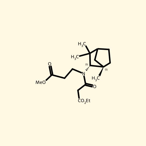 CCOC(=O)CC(=O)N(CCC(=O)OC)[C@@H]1C(C)(C)C2CC[C@@]1(C)C2